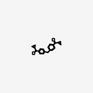 O=C(c1ccc(Cc2ccc(C(=O)C3CC3)cc2)cc1)C1CC1